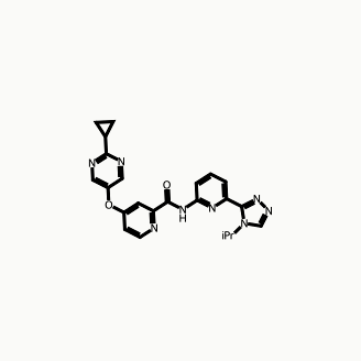 CC(C)n1cnnc1-c1cccc(NC(=O)c2cc(Oc3cnc(C4CC4)nc3)ccn2)n1